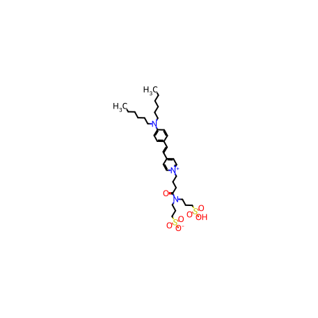 CCCCCCN(CCCCCC)c1ccc(/C=C/c2cc[n+](CCCC(=O)N(CCCS(=O)(=O)[O-])CCCS(=O)(=O)O)cc2)cc1